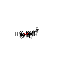 Cc1cc(N2C(=O)CNC2=O)ccc1CCS(=O)(=O)N1CCC2(CC1)N=C(C1CCC(/C=C/C(F)F)CC1)NC2=O